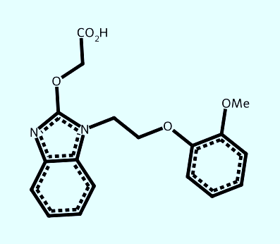 COc1ccccc1OCCn1c(OCC(=O)O)nc2ccccc21